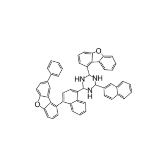 c1ccc(-c2ccc3oc4cccc(-c5ccc(C6NC(c7ccc8ccccc8c7)NC(c7cccc8oc9ccccc9c78)N6)c6ccccc56)c4c3c2)cc1